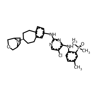 Cc1ccc(Nc2nc(Nc3ccc4c(c3)CC[C@@H](N3C5CCC3COC5)CC4)ncc2Cl)c(P(C)(C)=O)c1